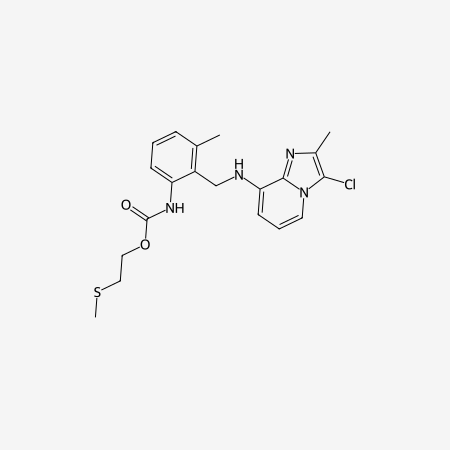 CSCCOC(=O)Nc1cccc(C)c1CNc1cccn2c(Cl)c(C)nc12